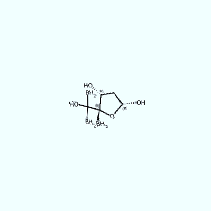 BC(B)(O)[C@@]1(B)O[C@@H](O)C[C@H]1O